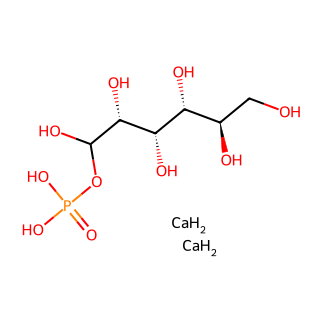 O=P(O)(O)OC(O)[C@H](O)[C@@H](O)[C@H](O)[C@H](O)CO.[CaH2].[CaH2]